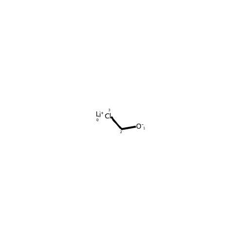 [Li+].[O-]CCl